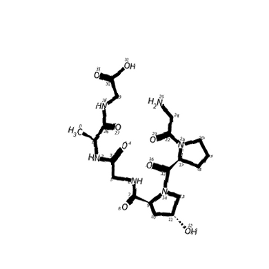 C[C@H](NC(=O)CNC(=O)[C@@H]1C[C@@H](O)CN1C(=O)[C@@H]1CCCN1C(=O)CN)C(=O)NCC(=O)O